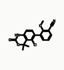 COc1c(C#N)cccc1-c1ccc2c(c1Cl)C(C)(C)OC(=O)N2